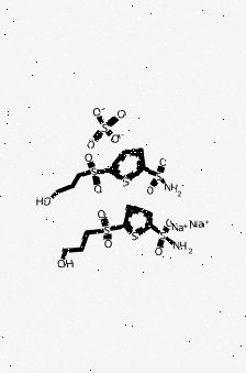 NS(=O)(=O)c1ccc(S(=O)(=O)CCCO)s1.NS(=O)(=O)c1ccc(S(=O)(=O)CCCO)s1.O=S(=O)([O-])[O-].[Na+].[Na+]